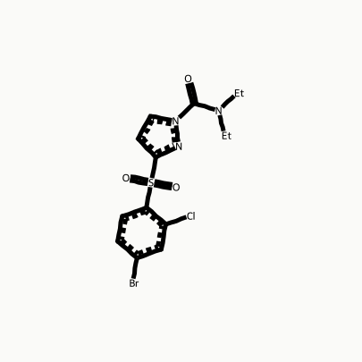 CCN(CC)C(=O)n1ccc(S(=O)(=O)c2ccc(Br)cc2Cl)n1